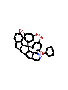 Brc1cc(Br)cc(C2(c3cc(Br)cc(Br)c3)C3=c4ccccc4=CC3=Cc3cc4ccn(-c5ccccc5)cc-4c32)c1